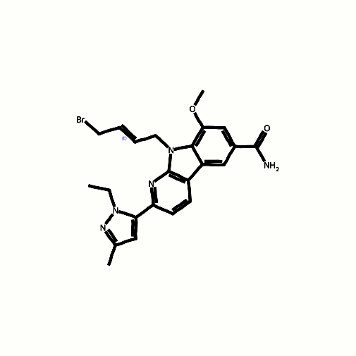 CCn1nc(C)cc1-c1ccc2c3cc(C(N)=O)cc(OC)c3n(C/C=C/CBr)c2n1